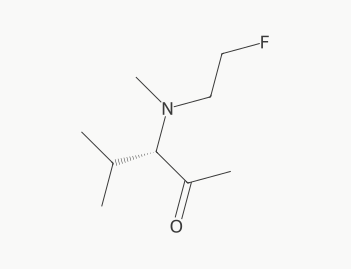 CC(=O)[C@H](C(C)C)N(C)CCF